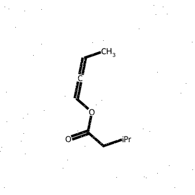 CC=C=COC(=O)CC(C)C